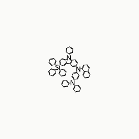 c1ccc(N(c2ccccc2)c2ccc(N(c3ccc4c(c3)c3cc([Si](c5ccccc5)(c5ccccc5)c5ccccc5)ccc3n4-c3ccccc3)c3cccc4ccccc34)cc2)cc1